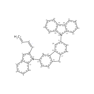 C=C/C=C\c1cc2ccccc2n1-c1ccc2c(c1)-c1cc(-n3c4ccccc4c4ccccc43)ccc1C2